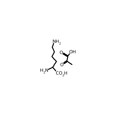 CC(=O)C(=O)O.NCCCCC(N)C(=O)O